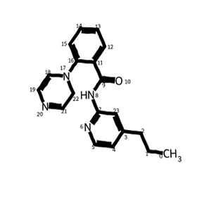 CCCc1ccnc(NC(=O)c2ccccc2N2C=CN=CC2)c1